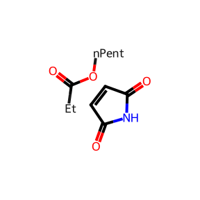 CCCCCOC(=O)CC.O=C1C=CC(=O)N1